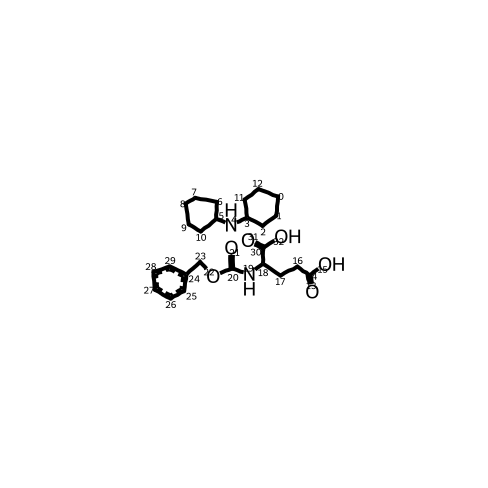 C1CCC(NC2CCCCC2)CC1.O=C(O)CCC(NC(=O)OCc1ccccc1)C(=O)O